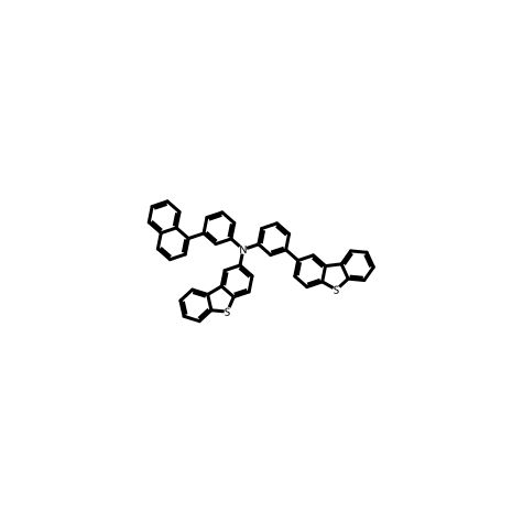 c1cc(-c2ccc3sc4ccccc4c3c2)cc(N(c2cccc(-c3cccc4ccccc34)c2)c2ccc3sc4ccccc4c3c2)c1